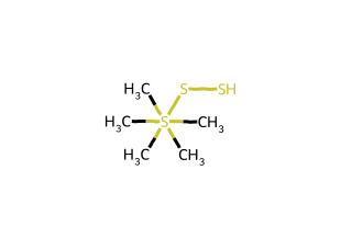 CS(C)(C)(C)(C)SS